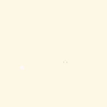 C/C=C\c1c(C)oc2c(C)cccc12